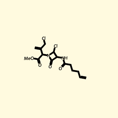 C=CCCCC(=O)NC1C(=O)N(C(C(=C)CCl)C(=O)OC)C1Cl